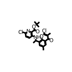 Cc1cc(C(C)Nc2ccc(Cl)nc2C(=O)OC(C)(C)C)c2oc(Cl)c(C)c(=O)c2c1